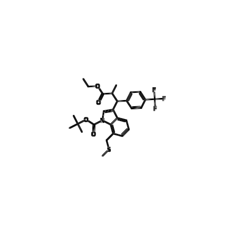 CCOC(=O)C(C)C(c1ccc(C(F)(F)F)cc1)c1cn(C(=O)OC(C)(C)C)c2c(CSC)cccc12